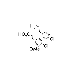 COc1cc(C=CC(=O)O)ccc1O.NCCc1ccc(O)cc1